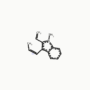 C=Cc1c(/C=C\C)c2ccccc2n1N